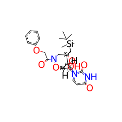 CC(C)(C)[Si](C)(C)C[C@@]12CN(C(=O)COc3ccccc3)O[C@@H]([C@H](n3ccc(=O)[nH]c3=O)O1)[C@@H]2O